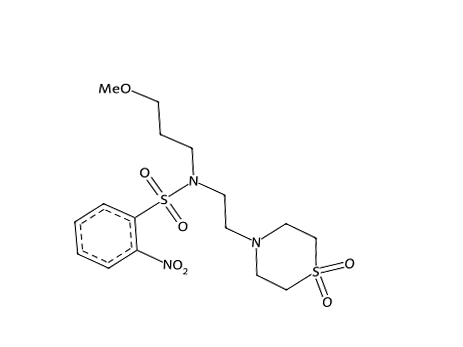 COCCCN(CCN1CCS(=O)(=O)CC1)S(=O)(=O)c1ccccc1[N+](=O)[O-]